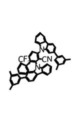 Cc1cc(C)cc(-c2ccc3c4ccccc4n(-c4ccc(-c5ccccc5C(F)(F)F)c(-n5c6ccccc6c6ccc(-c7cc(C)cc(C)c7)cc65)c4C#N)c3c2)c1